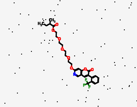 CCC(C)C(=O)OCCOCCOCCOCCOc1cc2oc(=O)c(-c3ccccc3C(F)(F)F)cc2cn1